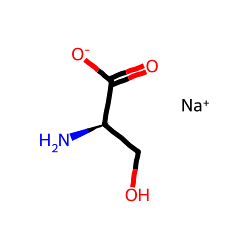 N[C@H](CO)C(=O)[O-].[Na+]